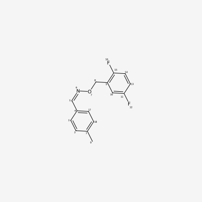 Cc1ccc(/[C]=N\OCc2cc(F)ccc2F)cc1